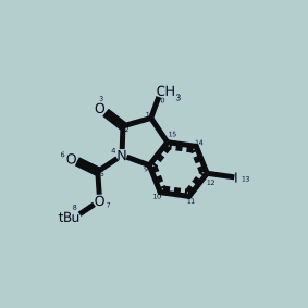 CC1C(=O)N(C(=O)OC(C)(C)C)c2ccc(I)cc21